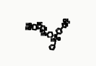 Cn1cc(-c2ccc(N(C(=O)NCc3ccccc3)[C@H]3CC[C@H](Nc4ncc(C#N)c(N5CCS(O)(O)CC5)n4)CC3)cc2)cn1